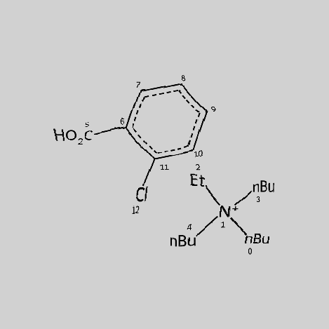 CCCC[N+](CC)(CCCC)CCCC.O=C(O)c1ccccc1Cl